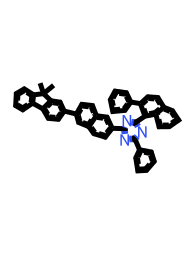 CC1(C)c2ccccc2-c2ccc(-c3ccc4cc(-c5nc(-c6ccccc6)nc(-c6c(-c7ccccc7)ccc7ccccc67)n5)ccc4c3)cc21